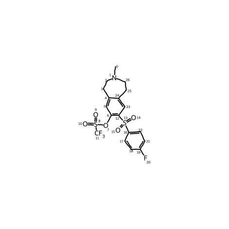 CN1CCc2cc(OS(=O)(=O)C(F)(F)F)c(S(=O)(=O)c3ccc(F)cc3)cc2CC1